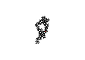 c1ccc2c(c1)-c1ccccc1C2(c1ccc2cc(OCC3SC3Oc3ccc4cc(C5(c6ccc7cc(OCC8CS8)ccc7c6)c6ccccc6-c6ccccc65)ccc4c3)ccc2c1)c1ccc2cc(OC3CCS3)ccc2c1